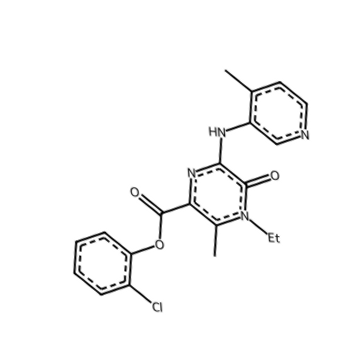 CCn1c(C)c(C(=O)Oc2ccccc2Cl)nc(Nc2cnccc2C)c1=O